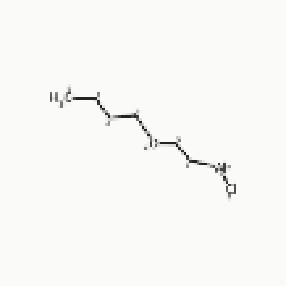 CCCCOC[CH2][Al][Cl]